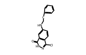 O=c1[nH]nc(Cl)c2ccc(NCCc3ccccc3)cc12